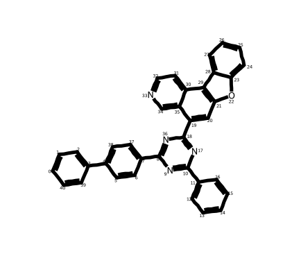 c1ccc(-c2ccc(-c3nc(-c4ccccc4)nc(-c4cc5oc6ccccc6c5c5ccncc45)n3)cc2)cc1